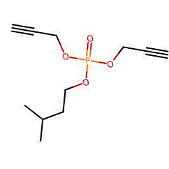 C#CCOP(=O)(OCC#C)OCCC(C)C